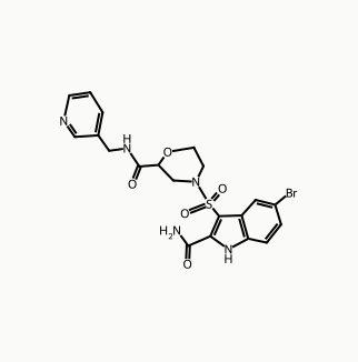 NC(=O)c1[nH]c2ccc(Br)cc2c1S(=O)(=O)N1CCOC(C(=O)NCc2cccnc2)C1